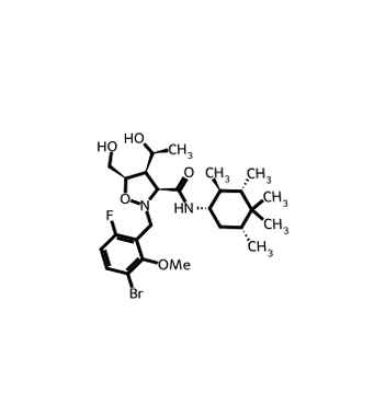 COc1c(Br)ccc(F)c1CN1O[C@@H](CO)[C@@H]([C@H](C)O)[C@H]1C(=O)N[C@H]1C[C@@H](C)C(C)(C)[C@@H](C)[C@@H]1C